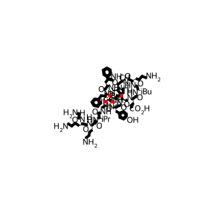 CC[C@H](C)[C@H](NC(=O)CNC(=O)[C@@H](NC(=O)[C@H](CCCCN)NC(=O)[C@H](CCCCN)NC(=O)CN)C(C)C)C(=O)N[C@@H](Cc1ccc(O)cc1)C(=O)N1CCC[C@H]1C(=O)N[C@@H](CCC(=O)O)C(=O)N[C@H](C(=O)N[C@@H](CCCCN)C(=O)N[C@@H](C)C(=O)N1CCC[C@H]1C(=O)N[C@@H](Cc1c[nH]c2ccccc12)C(=O)N[C@@H](Cc1ccccc1)C(=O)O)[C@@H](C)CC